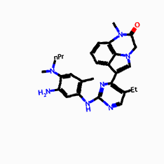 CCCN(C)c1cc(C)c(Nc2ncc(CC)c(-c3cn4c5c(cccc35)N(C)C(=O)C4)n2)cc1N